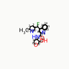 CC1CC=C(C(F)c2cc(C(=O)N[C@H]3CCOC[C@@H]3O)nc3ccccc23)C=N1